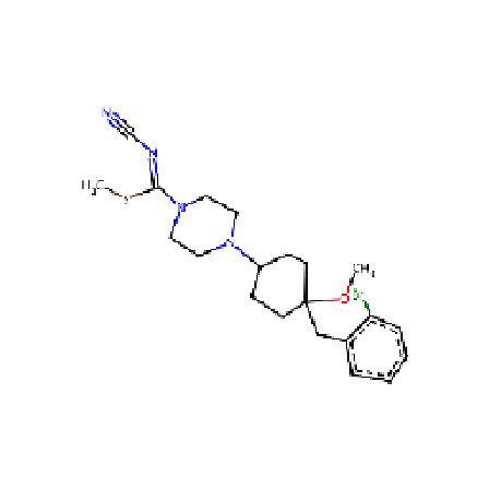 COC1(Cc2ccccc2Br)CCC(N2CCN(C(=NC#N)SC)CC2)CC1